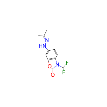 CC(C)=NNc1ccc2c(c1)oc(=O)n2C(F)F